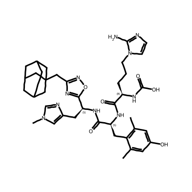 Cc1cc(O)cc(C)c1C[C@H](NC(=O)[C@@H](CCCn1ccnc1N)NC(=O)O)C(=O)N[C@@H](Cc1cn(C)cn1)c1nc(CC23CC4CC(CC(C4)C2)C3)no1